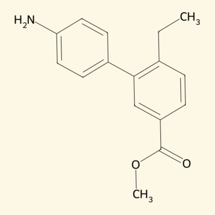 CCc1ccc(C(=O)OC)cc1-c1ccc(N)cc1